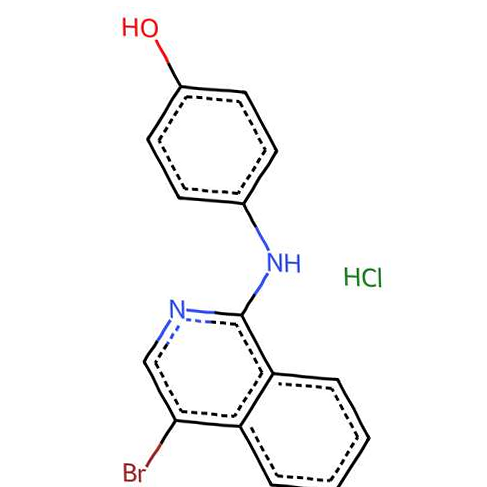 Cl.Oc1ccc(Nc2ncc(Br)c3ccccc23)cc1